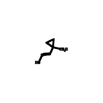 O=C(O)C1(C=NO)CC1